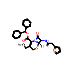 CC(=O)OCC1=C(C(=O)OC(c2ccccc2)c2ccccc2)N2C(=O)[C@@H](NC(=O)Cc3cccs3)[C@@H]2SC1